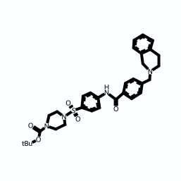 CC(C)(C)OC(=O)N1CCN(S(=O)(=O)c2ccc(NC(=O)c3ccc(CN4CCc5ccccc5C4)cc3)cc2)CC1